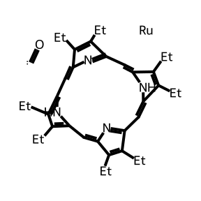 CCC1=C(CC)c2cc3[nH]c(cc4nc(cc5[nH]c(cc1n2)c(CC)c5CC)C(CC)=C4CC)c(CC)c3CC.[C]=O.[Ru]